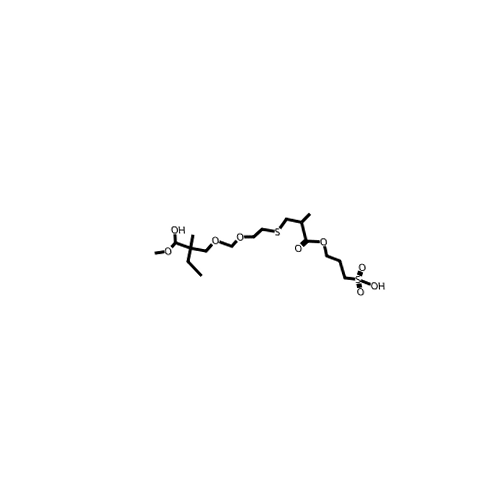 CCC(C)(COCOCCSCC(C)C(=O)OCCCS(=O)(=O)O)C(O)OC